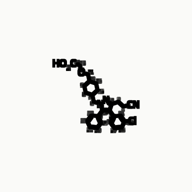 N#CCCc1nn(CC2CCC(COCC(=O)O)CC2)c(-c2ccccc2)c1-c1cccc(Cl)c1